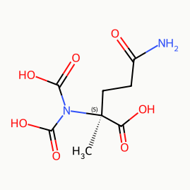 C[C@](CCC(N)=O)(C(=O)O)N(C(=O)O)C(=O)O